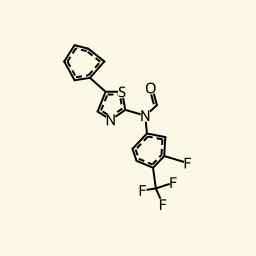 O=CN(c1ccc(C(F)(F)F)c(F)c1)c1ncc(-c2ccccc2)s1